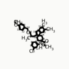 COC(=O)C1(Nc2cccc(Cl)c2)CCC2(CC1)C(C[C@@H](C)COCc1ccc(OC)cc1)=Cc1cc(C)c(C)cc12